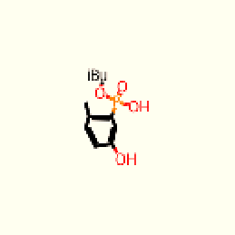 CCC(C)OP(=O)(O)c1cc(O)ccc1C